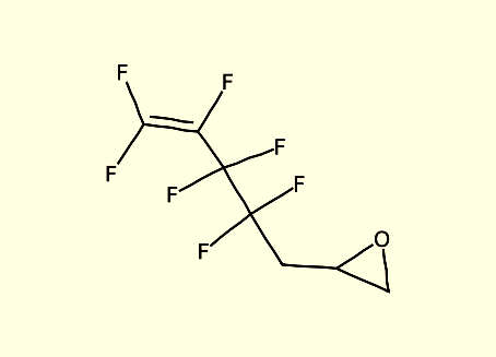 FC(F)=C(F)C(F)(F)C(F)(F)CC1CO1